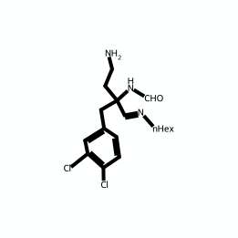 CCCCCCN=CC(CCN)(Cc1ccc(Cl)c(Cl)c1)NC=O